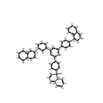 CC1(c2ccc(-c3nc(-c4ccc(-c5cncc6ccccc56)cc4)cc(-c4cccc(-c5ccc6ccccc6c5)c4)n3)cc2)C=CC=C2C=CC=CC21